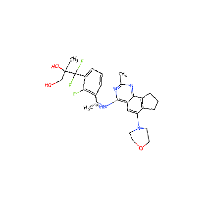 Cc1nc(N[C@H](C)c2cccc(C(F)(F)C(C)(O)CO)c2F)c2cc(N3CCOCC3)c3c(c2n1)CCC3